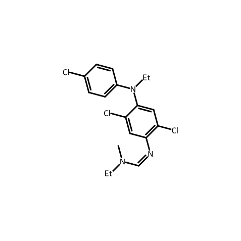 CCN(C)/C=N\c1cc(Cl)c(N(CC)c2ccc(Cl)cc2)cc1Cl